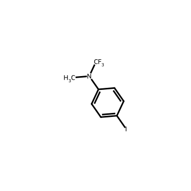 CN(c1ccc(I)cc1)C(F)(F)F